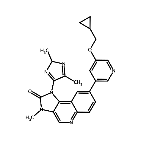 CC1=NC(C)N=C1n1c(=O)n(C)c2cnc3ccc(-c4cncc(OCC5CC5)c4)cc3c21